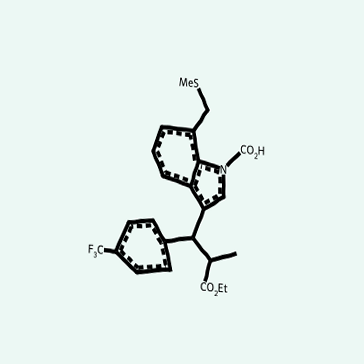 CCOC(=O)C(C)C(c1ccc(C(F)(F)F)cc1)c1cn(C(=O)O)c2c(CSC)cccc12